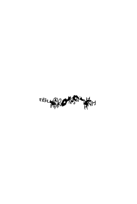 CC(C)(C)c1cc(NC(=O)Nc2ccc(-c3cn4c(n3)sc3nc(OCCN5C[C@@H]6C[C@H]5CN6)ccc34)cc2)no1